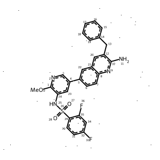 COc1ncc(-c2ccc3nc(N)c(Cc4ccccc4)cc3c2)cc1NS(=O)(=O)c1ccc(F)cc1F